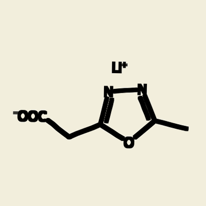 Cc1nnc(CC(=O)[O-])o1.[Li+]